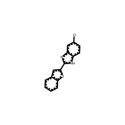 Clc1ccc2[nH]c(-c3cc4ccccc4s3)nc2c1